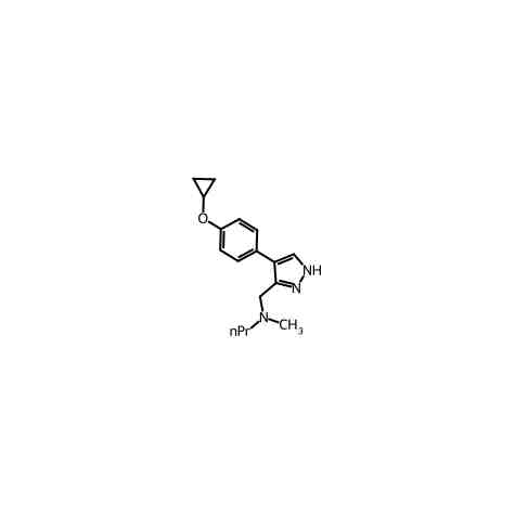 CCCN(C)Cc1n[nH]cc1-c1ccc(OC2CC2)cc1